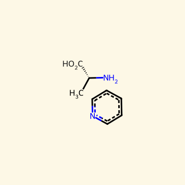 C[C@@H](N)C(=O)O.c1ccncc1